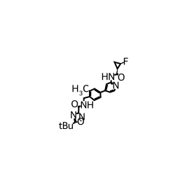 Cc1cc(-c2ccnc(NC(=O)[C@H]3C[C@H]3F)c2)ccc1CNC(=O)c1noc(C(C)(C)C)n1